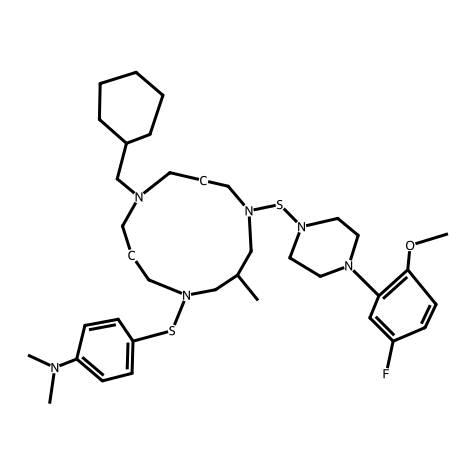 COc1ccc(F)cc1N1CCN(SN2CCCN(CC3CCCCC3)CCCN(Sc3ccc(N(C)C)cc3)CC(C)C2)CC1